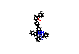 c1ccc2c(c1)ccc1c2c2cc(-c3ccc(-c4cccc5c4oc4ccccc45)cc3)ccc2n1-c1nc2ccccc2c2nc3ccccc3n12